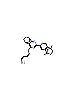 CC/C=C\C=C/Cc1cc(-c2ccc3c(c2)C2(C)CCC3(C)C2)nc2c1C1CCC2C1